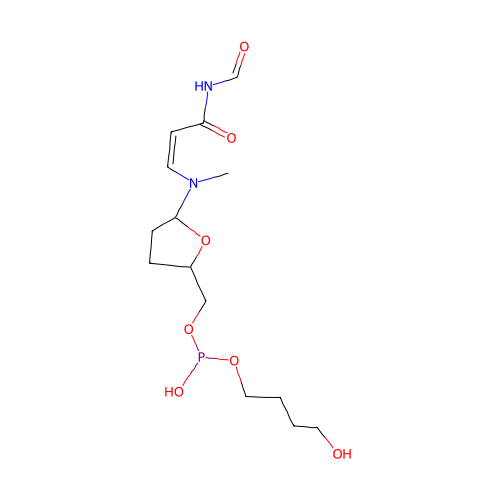 CN(/C=C\C(=O)NC=O)C1CCC(COP(O)OCCCCO)O1